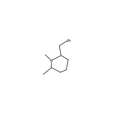 CC(C)CC1CCCC(C)N1C